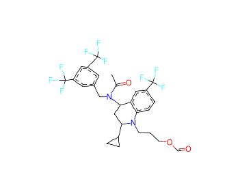 CC(=O)N(Cc1cc(C(F)(F)F)cc(C(F)(F)F)c1)C1CC(C2CC2)N(CCCOC=O)c2ccc(C(F)(F)F)cc21